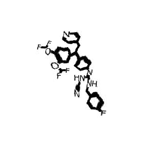 N#CNC(=Nc1ccc(C(Cc2ccncc2)c2ccc(OC(F)F)c(OC(F)F)c2)cc1)NCc1ccc(F)cc1